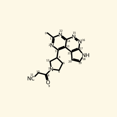 Cc1nc(C2CCN(C(=O)CC#N)C2)c2c(nnc3[nH]ccc32)n1